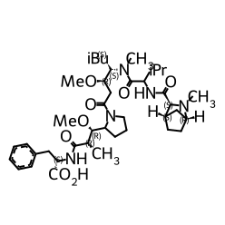 CC[C@H](C)[C@@H]([C@@H](CC(=O)N1CCCC1[C@H](OC)[C@@H](C)C(=O)N[C@@H](Cc1ccccc1)C(=O)O)OC)N(C)C(=O)C(NC(=O)[C@@H]1[C@H]2CC[C@H](C2)N1C)C(C)C